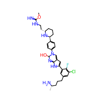 COC(=N)NCC[C@@H]1CCC[C@@H](c2ccc(N3C=c4cc(-c5cc(CCC[C@H](C)N)cc(Cl)c5F)[nH]c4=NC3O)cc2)N1